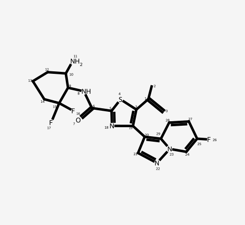 C=C(C)c1sc(C(=O)NC2C(N)CCCC2(F)F)nc1-c1cnn2cc(F)ccc12